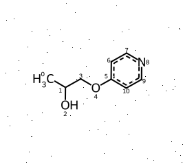 CC(O)COc1ccncc1